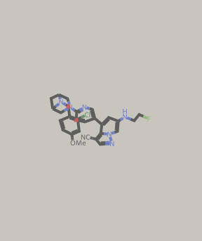 COc1ccc(CN2C3CC2CN(c2ccc(-c4cc(NCCF)cn5ncc(C#N)c45)cn2)C3)c(Cl)c1